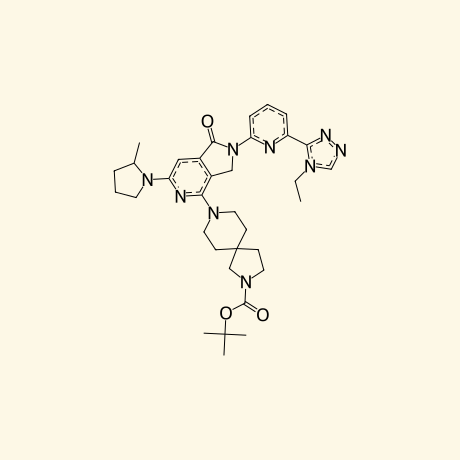 CCn1cnnc1-c1cccc(N2Cc3c(cc(N4CCCC4C)nc3N3CCC4(CCN(C(=O)OC(C)(C)C)C4)CC3)C2=O)n1